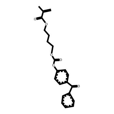 C=C(C)C(=O)OCCCCOC(=O)Oc1ccc(C(=O)c2ccccc2)cc1